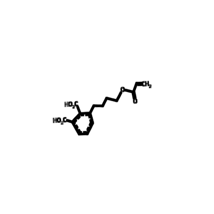 C=CC(=O)OCCCCc1cccc(C(=O)O)c1C(=O)O